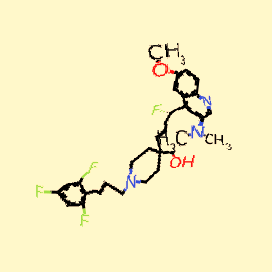 COc1ccc2ncc(N(C)C)c([C@@H](F)CCC3(CO)CCN(CCCc4c(F)cc(F)cc4F)CC3)c2c1